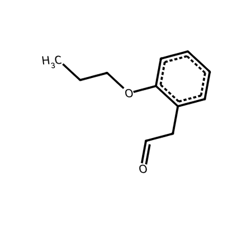 CCCOc1ccccc1CC=O